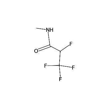 CNC(=O)C(F)C(F)(F)F